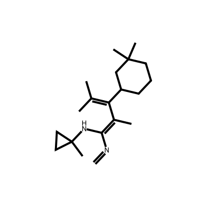 C=N/C(NC1(C)CC1)=C(\C)C(=C(C)C)C1CCCC(C)(C)C1